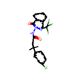 CC(C)(CC(=O)Nn1nc(C(F)(F)F)c2ccccc2c1=O)c1ccc(Cl)cc1